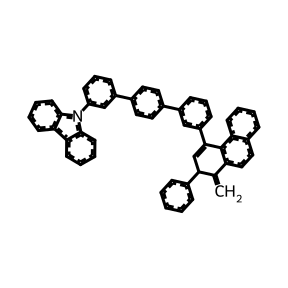 C=C1c2ccc3ccccc3c2C(c2cccc(-c3ccc(-c4cccc(-n5c6ccccc6c6ccccc65)c4)cc3)c2)=CC1c1ccccc1